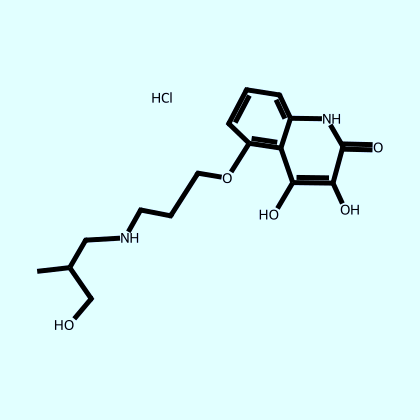 CC(CO)CNCCCOc1cccc2[nH]c(=O)c(O)c(O)c12.Cl